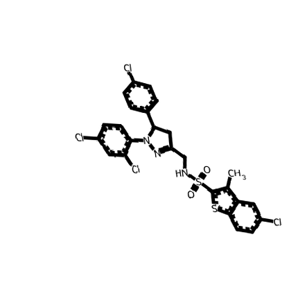 Cc1c(S(=O)(=O)NCC2=NN(c3ccc(Cl)cc3Cl)C(c3ccc(Cl)cc3)C2)sc2ccc(Cl)cc12